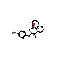 CCCc1ccc(OC2O[C@@H]3O[C@]4(C)CCC5[C@H](C)CCC([C@H]2C)[C@]53OO4)cc1